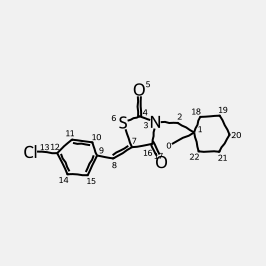 CC1(CN2C(=O)S/C(=C\c3ccc(Cl)cc3)C2=O)CCCCC1